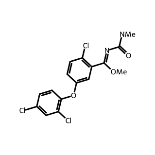 CNC(=O)N=C(OC)c1cc(Oc2ccc(Cl)cc2Cl)ccc1Cl